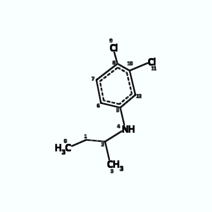 CCC(C)Nc1ccc(Cl)c(Cl)c1